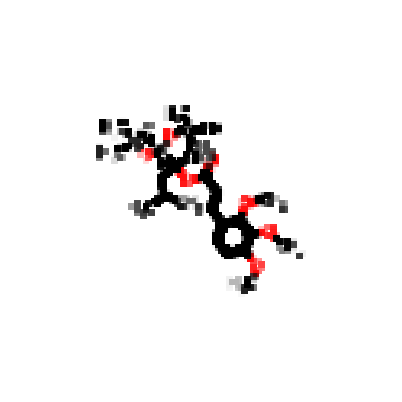 COc1ccc(C=CC(=O)OC(C)(CC(C)C)[SiH](O[Si](C)(C)C)O[Si](C)(C)C)c(OC)c1OC